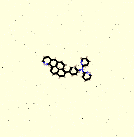 C1=CC2=CC3=C4C(=CC=C5C=CC(c6ccc(N(c7ccccn7)c7ccccn7)cc6)=C(C=C3)C54)C2N=C1